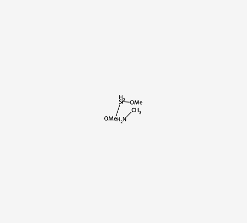 CN.CO[SiH2]OC